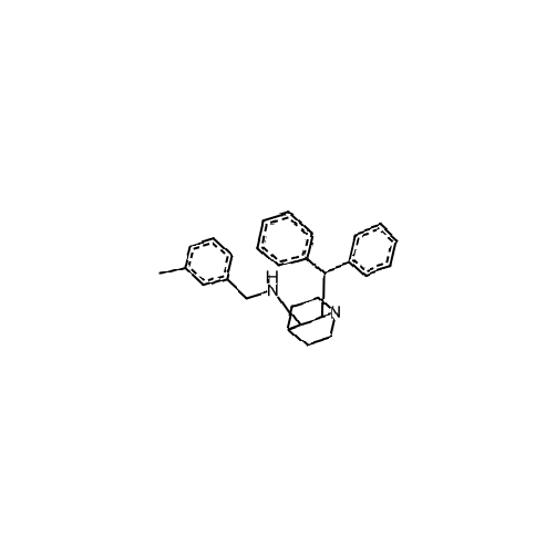 Cc1cccc(CNC2C3CCN(CC3)C2C(c2ccccc2)c2ccccc2)c1